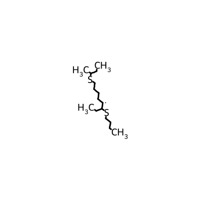 CCCCSC([CH]CCCCSC(C)CC)CC